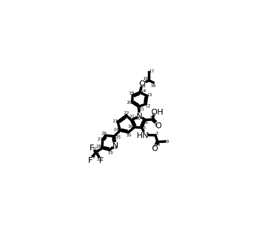 CC(=O)CNc1c(C(=O)O)n(-c2ccc(OC(C)C)cc2)c2ccc(-c3ccc(C(F)(F)F)cn3)cc12